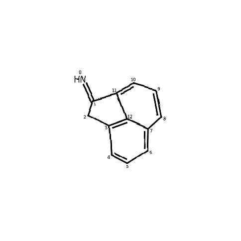 N=C1Cc2cccc3cccc1c23